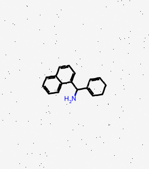 NC(C1=CCCC=C1)c1cccc2ccccc12